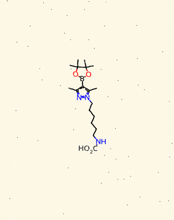 Cc1nn(CCCCCCNC(=O)O)c(C)c1B1OC(C)(C)C(C)(C)O1